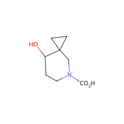 O=C(O)N1CCC(O)C2(CC2)C1